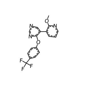 COc1ncccc1-c1cncnc1Oc1ccc(C(F)(F)F)cc1